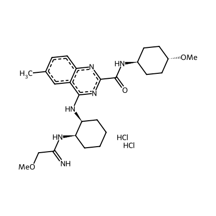 COCC(=N)N[C@@H]1CCCC[C@@H]1Nc1nc(C(=O)N[C@H]2CC[C@H](OC)CC2)nc2ccc(C)cc12.Cl.Cl